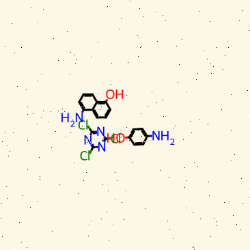 Clc1nc(Cl)nc(Cl)n1.Nc1ccc(O)cc1.Nc1cccc2c(O)cccc12